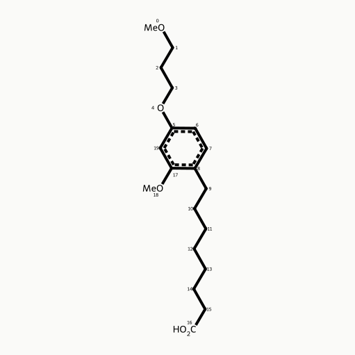 COCCCOc1ccc(CCCCCCCC(=O)O)c(OC)c1